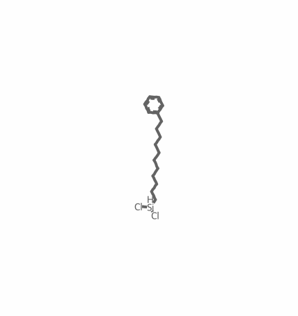 Cl[SiH](Cl)CCCCCCCCCCCc1ccccc1